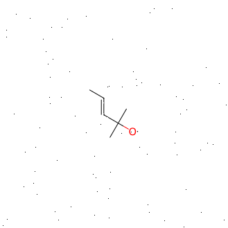 CC=CC(C)(C)[O]